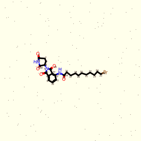 O=C1CCC(N2C(=O)c3cccc(NC(=O)CCCCCCCCCCBr)c3C2=O)C(=O)N1